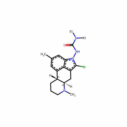 CCN(CC)C(=O)Nn1c(Br)c2c3c(cc(C)cc31)[C@H]1CCCN(C)[C@@H]1C2